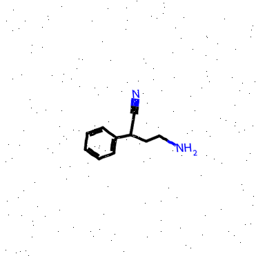 N#CC(CCN)c1ccccc1